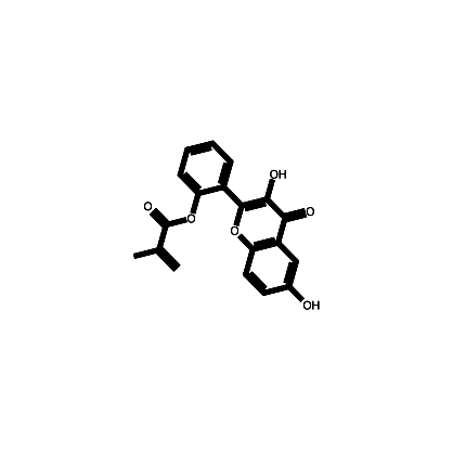 C=C(C)C(=O)Oc1ccccc1-c1oc2ccc(O)cc2c(=O)c1O